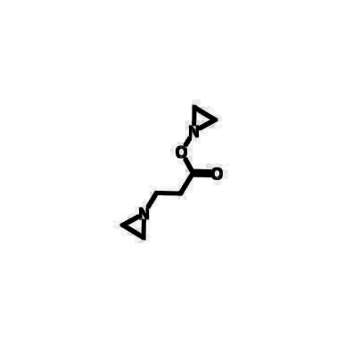 O=C(CCN1CC1)ON1CC1